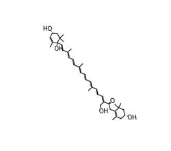 CC1=C[C@H](O)CC(C)(C)C1(O)/C=C/C(C)=C/C=C/C(C)=C/C=C/C=C(C)/C=C/C=C(\CO)C(=O)CC1=C(C)C[C@@H](O)CC1(C)C